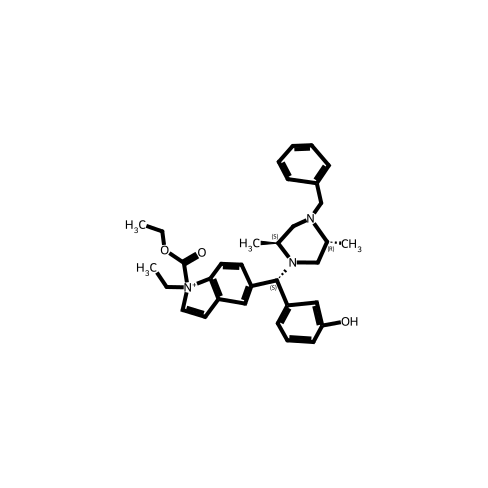 CCOC(=O)[N+]1(CC)C=Cc2cc([C@@H](c3cccc(O)c3)N3C[C@@H](C)N(Cc4ccccc4)C[C@@H]3C)ccc21